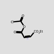 CCOC(=O)/C=C\C(=O)OC(=O)Cl